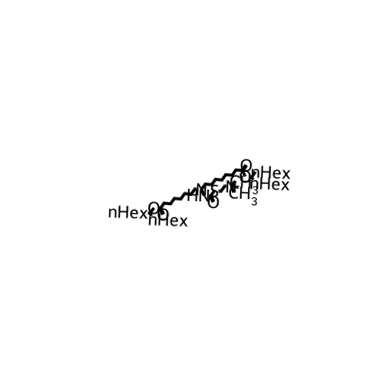 CCCCCCC(CCCCCC)OC(=O)CCCCCCCN(CCCCCCCC(=O)OC(CCCCCC)CCCCCC)NC(=O)SCCN(C)C